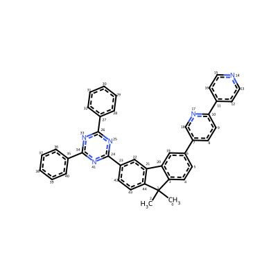 CC1(C)c2ccc(-c3ccc(-c4ccncc4)nc3)cc2-c2cc(-c3nc(-c4ccccc4)nc(-c4ccccc4)n3)ccc21